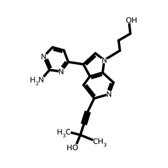 CC(C)(O)C#Cc1cc2c(-c3ccnc(N)n3)cn(CCCO)c2cn1